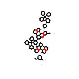 CC(C)(C)c1cc(N(c2ccc(-c3ccc4c(c3)C(c3ccccc3)(c3cccc(-c5cc(-c6ccccc6)c6c(-c7ccccc7N(c7ccc(-c8cccc9c8-c8ccccc8C9(c8ccccc8)c8ccccc8)cc7)c7cc(C(C)(C)C)cc(C(C)(C)C)c7)cccc6c5)c3)c3ccccc3-4)cc2)c2ccccc2-c2cccc3cccc(-c4ccccc4)c23)cc(C(C)(C)C)c1